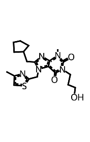 Cc1csc(Cn2c(CC3CCCC3)nc3c2c(=O)n(CCCO)c(=O)n3C)n1